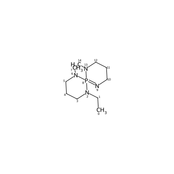 CCN1CCCN(C)P12=NCCCN2C